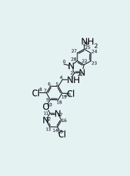 Cn1c(NCc2cc(Cl)c(Oc3ncc(Cl)cn3)cc2Cl)nc2ccc(N)cc21